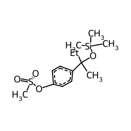 CCC(C)(O[Si](C)(C)C)c1ccc(OS(C)(=O)=O)cc1